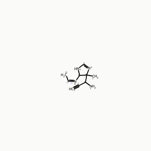 C#CC(N)C1(C)N=CNC1/N=C\C